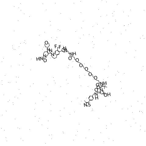 CNC(=O)N1CCc2c(c(N3CCCc4cc(-c5cnn(CCNC(=O)CCOCCOCCOCCOCCOCCC(=O)N[C@H](C(=O)N6C[C@H](O)C[C@H]6C(=O)NCc6ccc(-c7scnc7C)cc6)C(C)(C)C)c5)c(C(F)F)cc43)nn2C2CCOCC2)C1